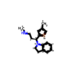 CNCC[C@@H](c1cc(C)cs1)N1CCc2ccccc21